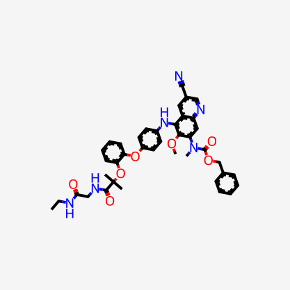 CCNC(=O)CNC(=O)C(C)(C)Oc1ccccc1Oc1ccc(Nc2c(OC)c(N(C)C(=O)OCc3ccccc3)cc3ncc(C#N)cc23)cc1